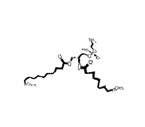 CCCCCCCC/C=C\CCCCCCCC(=O)OC[C@H](COP(=O)(O)OCCN)OC(=O)CCCCCCCCCCCCCCCCC